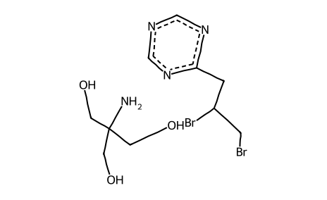 BrCC(Br)Cc1ncncn1.NC(CO)(CO)CO